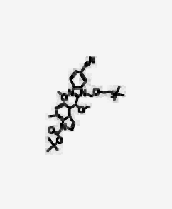 COc1cc(C)c2c(ccn2C(=O)OC(C)(C)C)c1C(OC)c1nc2ccc(C#N)cc2n1COCC[Si](C)(C)C